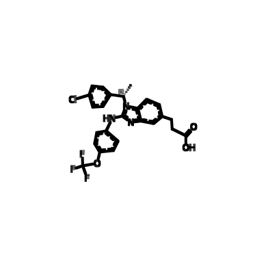 C[C@@H](c1ccc(Cl)cc1)n1c(Nc2ccc(OC(F)(F)F)cc2)nc2cc(CCC(=O)O)ccc21